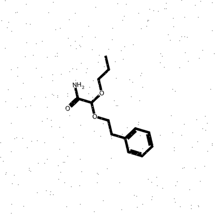 CCCOC(OCCc1ccccc1)C(N)=O